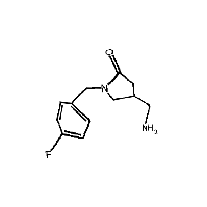 NCC1CC(=O)N(Cc2ccc(F)cc2)C1